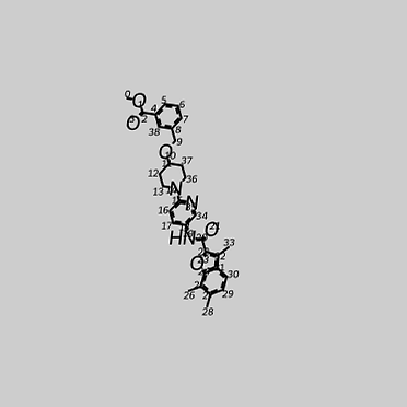 COC(=O)c1cccc(COC2CCN(c3ccc(NC(=O)c4oc5c(C)c(C)ccc5c4C)cn3)CC2)c1